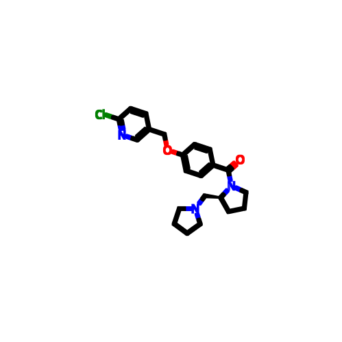 O=C(c1ccc(OCc2ccc(Cl)nc2)cc1)N1CCC[C@H]1CN1CCCC1